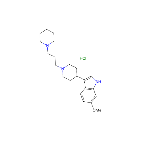 COc1ccc2c(C3CCN(CCCN4CCCCC4)CC3)c[nH]c2c1.Cl